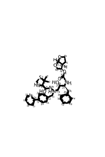 CC1(C)SCNC1[C@@H](O)NN(Cc1ccc(-c2ccccn2)cc1)C[C@H](O)[C@H](Cc1ccccc1)NC(=O)O[C@H]1CO[C@H]2OCC[C@H]21